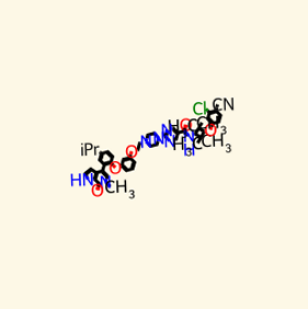 CC(C)c1ccc(Oc2cccc(OCCN3CCN(c4ncc(C(=O)NC5C(C)(C)C(Oc6ccc(C#N)c(Cl)c6)C5(C)C)cn4)CC3)c2)c(-c2cn(C)c(=O)c3[nH]ccc23)c1